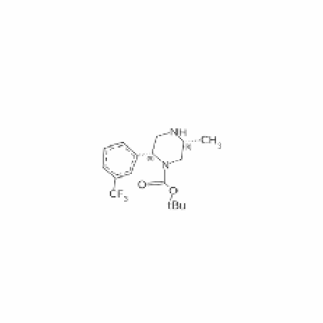 C[C@@H]1CN(C(=O)OC(C)(C)C)[C@H](c2cccc(C(F)(F)F)c2)CN1